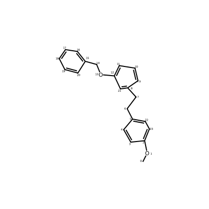 COc1ccc(CCc2[c]ccc(OCc3ccccc3)c2)cc1